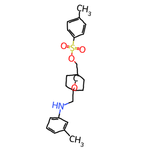 Cc1ccc(S(=O)(=O)OCC23CCC(CNc4cccc(C)c4)(CC2)OC3)cc1